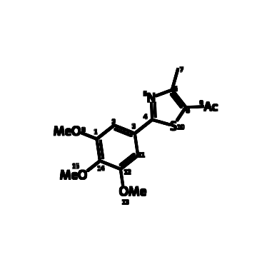 COc1cc(-c2nc(C)c(C(C)=O)s2)cc(OC)c1OC